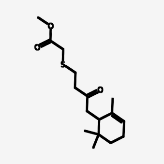 COC(=O)CSCCC(=O)CC1C(C)=CCCC1(C)C